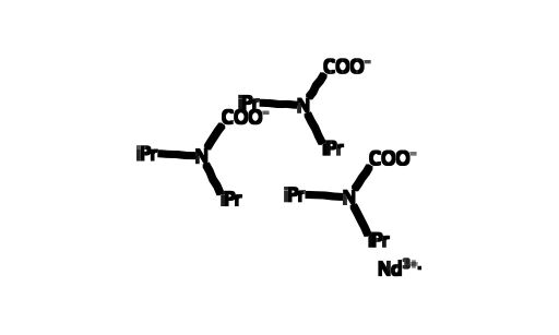 CC(C)N(C(=O)[O-])C(C)C.CC(C)N(C(=O)[O-])C(C)C.CC(C)N(C(=O)[O-])C(C)C.[Nd+3]